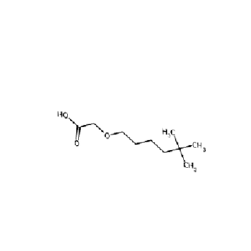 CC(C)(C)CCCCOCC(=O)O